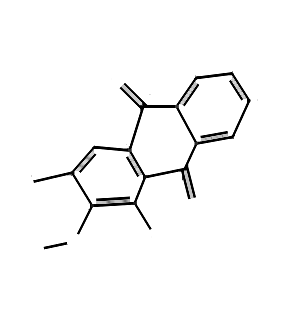 COc1c(C)cc2c(c1O)C(=O)c1ccccc1C2=O